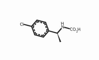 C[C@H](NC(=O)O)c1ccc(Cl)cc1